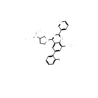 COc1cc(-c2ccccc2F)cc2c(N3CCC(N(C)C)C3)nc(-c3cccnc3)nc12